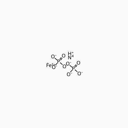 O=P([O-])([O-])[O-].O=P([O-])([O-])[O-].[Fe+5].[NH4+]